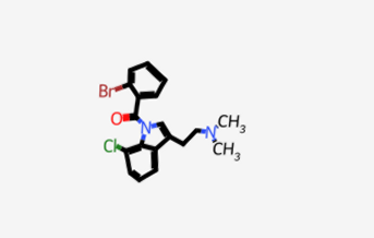 CN(C)CCc1cn(C(=O)c2ccccc2Br)c2c(Cl)cccc12